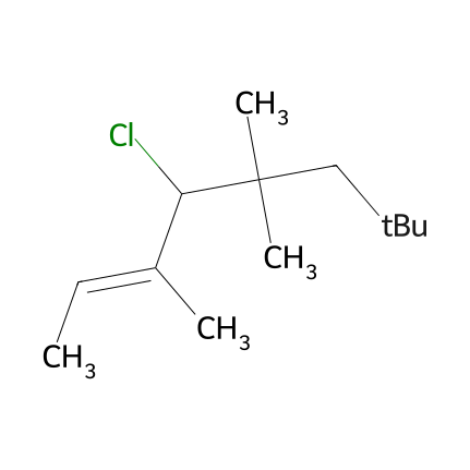 C/C=C(\C)C(Cl)C(C)(C)CC(C)(C)C